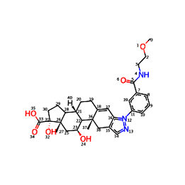 COCCNC(=O)c1cccc(-n2ncc3c2C=C2CC[C@@H]4C([C@@H](O)C[C@@]5(C)C4CC[C@]5(O)C(=O)O)[C@@]2(C)C3)c1